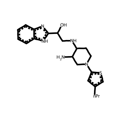 CCCc1csc(N2CCC(NCC(O)c3nc4ccccc4[nH]3)C(N)C2)c1